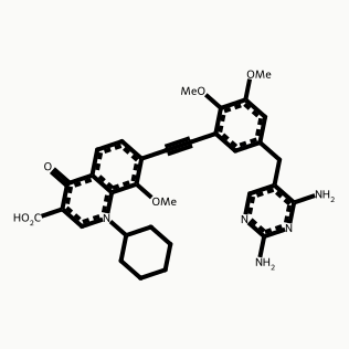 COc1cc(Cc2cnc(N)nc2N)cc(C#Cc2ccc3c(=O)c(C(=O)O)cn(C4CCCCC4)c3c2OC)c1OC